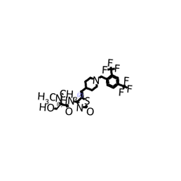 CN(C)[C@H](CO)C(=O)NC1=NC(=O)S/C1=C\C1CCN(Cc2ccc(C(F)(F)F)cc2C(F)(F)F)CC1